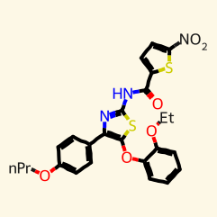 CCCOc1ccc(-c2nc(NC(=O)c3ccc([N+](=O)[O-])s3)sc2Oc2ccccc2OCC)cc1